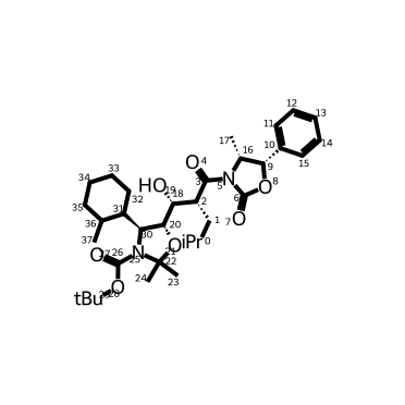 CC(C)C[C@@H](C(=O)N1C(=O)O[C@@H](c2ccccc2)[C@H]1C)[C@@H](O)[C@@H]1OC(C)(C)N(C(=O)OC(C)(C)C)[C@H]1C1CCCCC1C